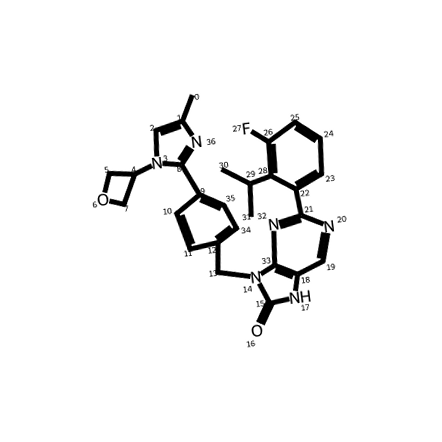 Cc1cn(C2COC2)c(-c2ccc(Cn3c(=O)[nH]c4cnc(-c5cccc(F)c5C(C)C)nc43)cc2)n1